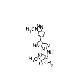 CN(C)C(=O)[C@]1(C)C[C@@H](Nc2ncc3c(-c4ccc5nnn(C)c5c4)c[nH]c3n2)C1